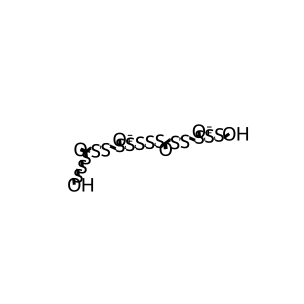 O=C(CSCSCC[S+]([O-])CSCSCSCSC(=O)CSCSCC[S+]([O-])CSCSCO)SCSCSCO